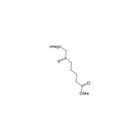 CCCCCCCCC(=S)CCCCC(=O)OC